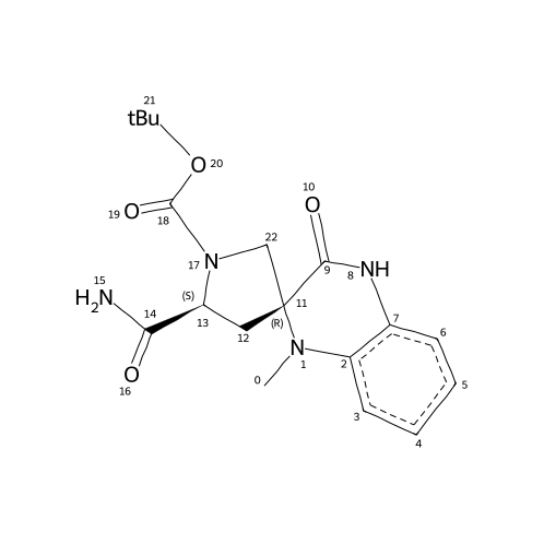 CN1c2ccccc2NC(=O)[C@]12C[C@@H](C(N)=O)N(C(=O)OC(C)(C)C)C2